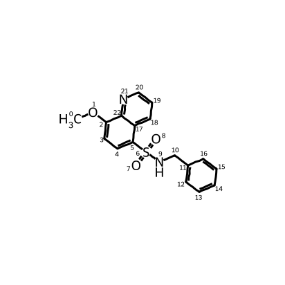 COc1ccc(S(=O)(=O)NCc2ccccc2)c2cccnc12